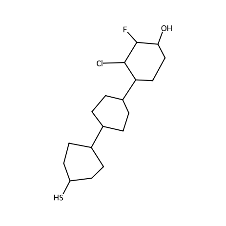 OC1CCC(C2CCC(C3CCC(S)CC3)CC2)C(Cl)C1F